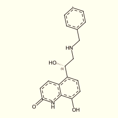 O=c1ccc2c([C@H](O)CNCc3cc[c]cc3)ccc(O)c2[nH]1